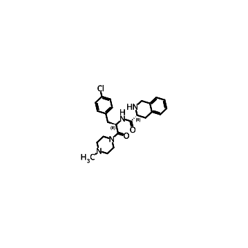 CN1CCN(C(=O)[C@@H](Cc2ccc(Cl)cc2)NC(=O)[C@H]2Cc3ccccc3CN2)CC1